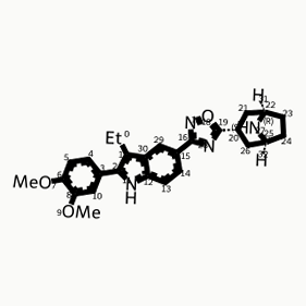 CCc1c(-c2ccc(OC)c(OC)c2)[nH]c2ccc(-c3noc([C@@H]4C[C@H]5CC[C@@H](C4)N5)n3)cc12